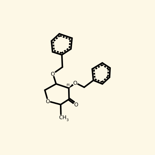 CC1OCC(OCc2ccccc2)[C@@H](OCc2ccccc2)C1=O